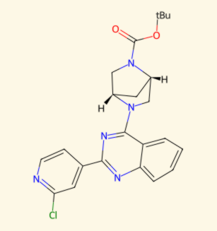 CC(C)(C)OC(=O)N1C[C@@H]2C[C@H]1CN2c1nc(-c2ccnc(Cl)c2)nc2ccccc12